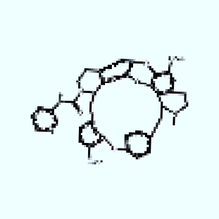 COc1ccc2cc1Oc1ccc(cc1)CC1c3c(cc(OC)c4c3Oc3cc5c(cc3O4)CCN(C(=O)Nc3cccnc3)C5C2)CCN1C